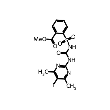 COC(=O)c1ccccc1S(=O)(=O)NC(=O)Nc1nc(C)c(I)c(C)n1